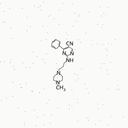 CN1CCN(CCCNc2ncc(C#N)c(-c3ccccc3)n2)CC1